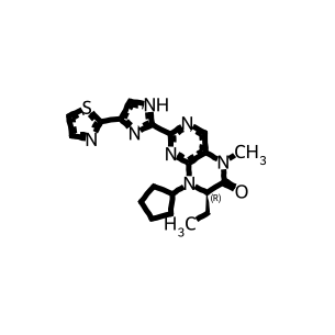 CC[C@@H]1C(=O)N(C)c2cnc(-c3nc(-c4nccs4)c[nH]3)nc2N1C1CCCC1